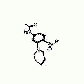 CC(=O)Nc1ccc([N+](=O)[O-])c(N2CCCCC2)c1